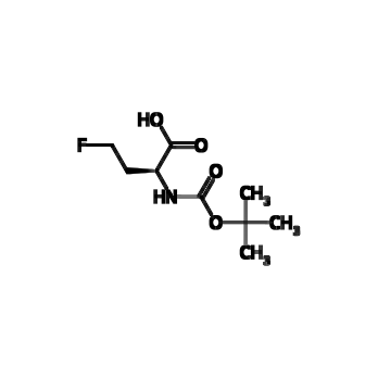 CC(C)(C)OC(=O)N[C@@H](CCF)C(=O)O